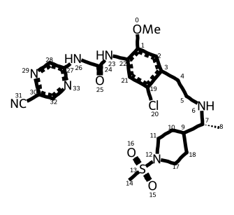 COc1cc(CCN[C@H](C)C2CCN(S(C)(=O)=O)CC2)c(Cl)cc1NC(=O)Nc1cnc(C#N)cn1